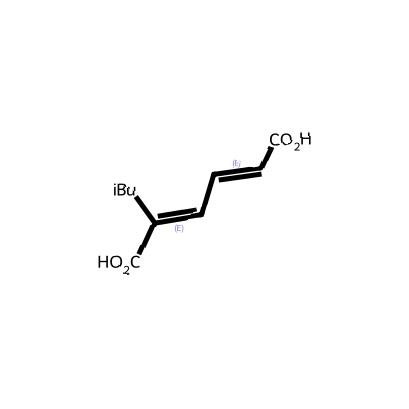 CCC(C)/C(=C\C=C\C(=O)O)C(=O)O